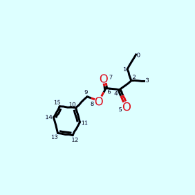 CCC(C)C(=O)C(=O)OCc1ccccc1